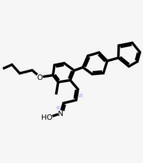 CCCCOc1ccc(-c2ccc(-c3ccccc3)cc2)c(/C=C\C=N\O)c1C